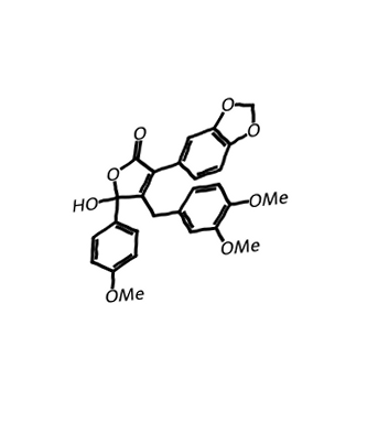 COc1ccc(C2(O)OC(=O)C(c3ccc4c(c3)OCO4)=C2Cc2ccc(OC)c(OC)c2)cc1